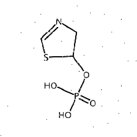 O=P(O)(O)OC1CN=CS1